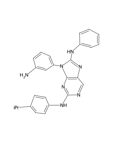 CC(C)c1ccc(Nc2ncc3nc(Nc4ccccc4)n(-c4cccc(N)c4)c3n2)cc1